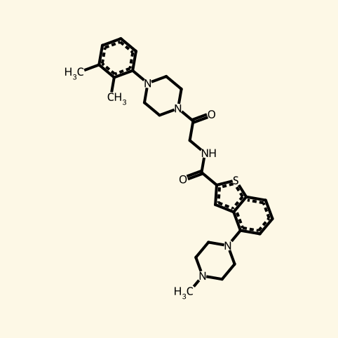 Cc1cccc(N2CCN(C(=O)CNC(=O)c3cc4c(N5CCN(C)CC5)cccc4s3)CC2)c1C